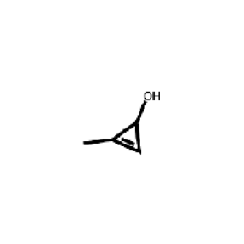 CC1=CC1O